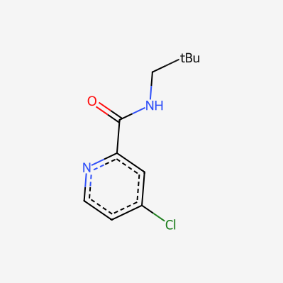 CC(C)(C)CNC(=O)c1cc(Cl)ccn1